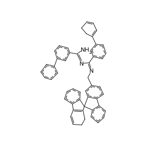 N/C(=N\C(=N/Cc1ccc2c(c1)C1(C3=C(C=CCC3)c3ccccc31)c1ccccc1-2)c1cccc(C2=CC=CCC2)c1)c1cccc(-c2ccccc2)c1